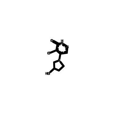 O=c1[nH]ncc(N2CCC(O)C2)c1Cl